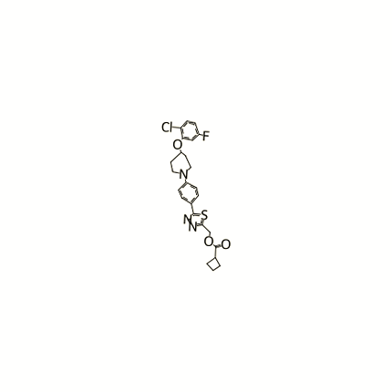 O=C(OCc1nnc(-c2ccc(N3CCC(Oc4cc(F)ccc4Cl)CC3)cc2)s1)C1CCC1